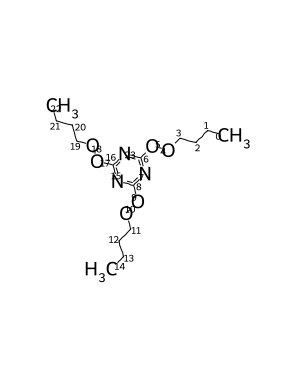 CCCCOOc1nc(OOCCCC)nc(OOCCCC)n1